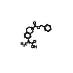 CN(C(=O)O)c1ccc2c(c1)CN(C(=O)OCc1ccccc1)CC2